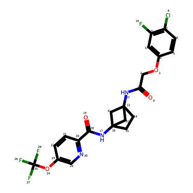 O=C(COc1ccc(Cl)c(F)c1)NC12CCC(NC(=O)c3ccc(OC(F)(F)F)cn3)(C1)C2